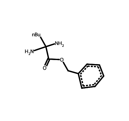 CCCCC(N)(N)C(=O)OCc1ccccc1